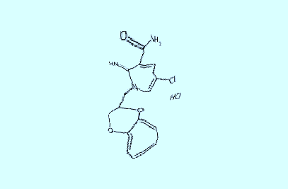 Cl.N=c1c(C(N)=O)cc(Cl)cn1CC1COc2ccccc2O1